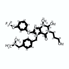 CN(C)Cc1ccc(Cn2c(Oc3cccc(OC(F)(F)F)c3)nc3c2C(=O)N(CCCO)C(O)N3C)cc1